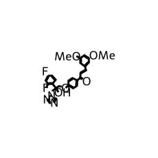 COc1cc(C=CC(=O)c2ccc(OCC(O)(Cn3cncn3)c3ccc(F)cc3F)cc2)cc(OC)c1